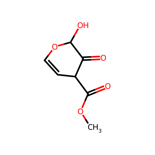 COC(=O)C1C=COC(O)C1=O